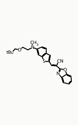 CN(CCOCC(C)(C)C)c1ccc2cc(/C=C(\C#N)c3nc4ccccc4o3)sc2c1